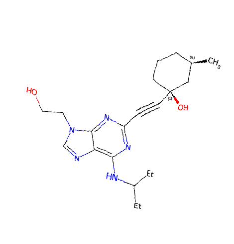 CCC(CC)Nc1nc(C#C[C@]2(O)CCC[C@@H](C)C2)nc2c1ncn2CCO